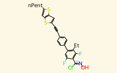 CCCCCc1cc2sc(C#Cc3ccc(-c4cc(F)c(/C(Cl)=N/O)c(F)c4CC)cc3)cc2s1